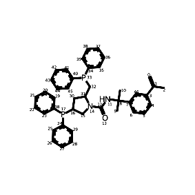 C=C(C)c1cccc(C(C)(C)NC(=O)N2CC(P(c3ccccc3)c3ccccc3)CC2CP(c2ccccc2)c2ccccc2)c1